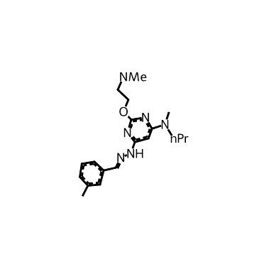 CCCN(C)c1cc(N/N=C/c2cccc(C)c2)nc(OCCNC)n1